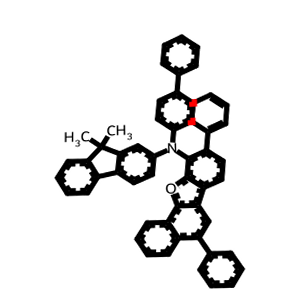 CC1(C)c2ccccc2-c2ccc(N(c3ccc(-c4ccccc4)cc3)c3c(C4=CC=CCC4)ccc4c3oc3c5ccccc5c(-c5ccccc5)cc43)cc21